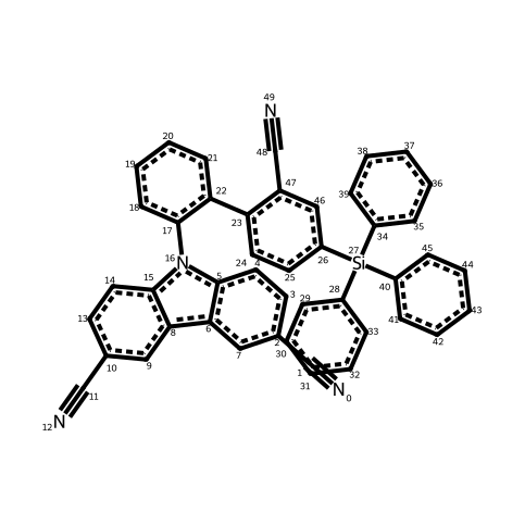 N#Cc1ccc2c(c1)c1cc(C#N)ccc1n2-c1ccccc1-c1ccc([Si](c2ccccc2)(c2ccccc2)c2ccccc2)cc1C#N